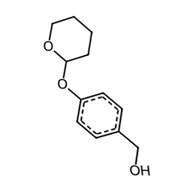 OCc1ccc(OC2CCCCO2)cc1